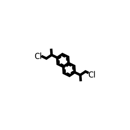 CC(CCl)c1ccc2cc(C(C)CCl)ccc2c1